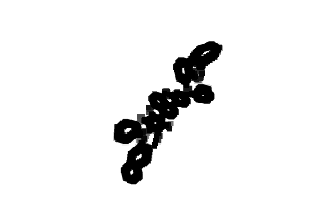 Fc1c(F)c(N(c2ccccc2)c2ccc3ccccc3c2)c(F)c(F)c1-c1ccc2c3c(cccc13)Oc1cc(N(c3ccccc3)c3cccc4c3oc3ccccc34)ccc1-2